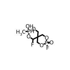 C[PH]1(O)OCC2(COP(=O)(F)OC2)C(F)O1